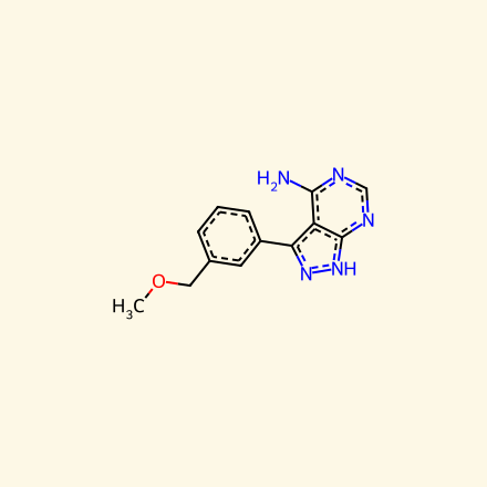 COCc1cccc(-c2n[nH]c3ncnc(N)c23)c1